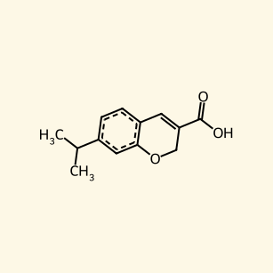 CC(C)c1ccc2c(c1)OCC(C(=O)O)=C2